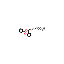 O=C(O)CCCCCC(OC(=O)c1ccccc1)c1ccccc1